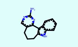 Nc1ncc2c(n1)-c1c([nH]c3ccccc13)CCC2